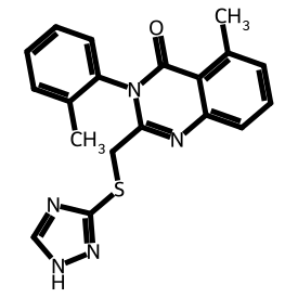 Cc1ccccc1-n1c(CSc2nc[nH]n2)nc2cccc(C)c2c1=O